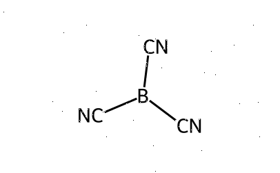 N#CB(C#N)C#N